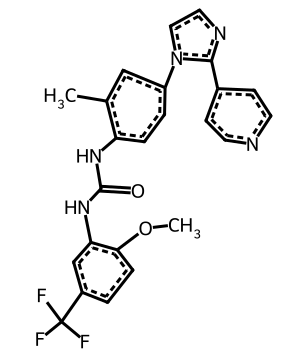 COc1ccc(C(F)(F)F)cc1NC(=O)Nc1ccc(-n2ccnc2-c2ccncc2)cc1C